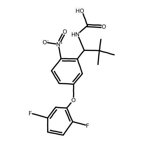 CC(C)(C)C(NC(=O)O)c1cc(Oc2cc(F)ccc2F)ccc1[N+](=O)[O-]